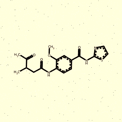 COc1cc(C(=O)Nc2nccs2)ccc1NC(=O)CC(C)C(C)=O